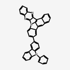 c1ccc(-n2c3ccccc3c3cc(-c4ccc5c(c4)c4cc6ccccc6c6c7nc8ccccc8nc7n5c46)ccc32)cc1